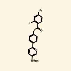 CCCCCCc1ccc(-c2ccc(OC(=O)c3ccc(CCC)cc3F)cc2)nc1